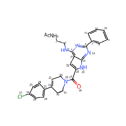 CC(=O)NCCNc1nc(-c2ccccc2)nc2[nH]c(C(=O)N3CC=C(c4ccc(Cl)cc4)CC3)cc12